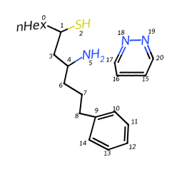 CCCCCCC(S)CC(N)CCCc1ccccc1.c1ccnnc1